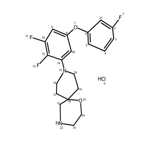 Cl.Fc1cccc(Oc2cc(F)c(F)c(N3CCC4(CC3)CNCCO4)c2)c1